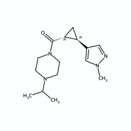 CC(C)N1CCN(C(=O)[C@@H]2C[C@H]2c2cnn(C)c2)CC1